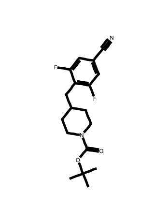 CC(C)(C)OC(=O)N1CCC(Cc2c(F)cc(C#N)cc2F)CC1